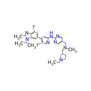 CCN1CC[C@H](CN(C)Cc2cnc(Nc3cc(-c4cc(F)c5nc(C)n(C(C)C)c5c4)c(F)cn3)nc2)C1